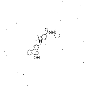 Cc1c(C)n(Cc2ccc(-c3ccccc3C(=O)O)cc2)c2ccc(C(=O)NC[C@H](C)C3CCCCC3)cc12